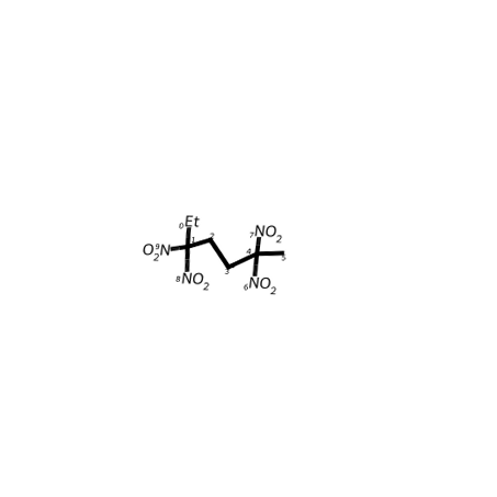 CCC(C[CH]C(C)([N+](=O)[O-])[N+](=O)[O-])([N+](=O)[O-])[N+](=O)[O-]